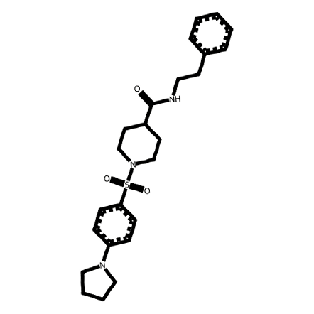 O=C(NCCc1ccccc1)C1CCN(S(=O)(=O)c2ccc(N3CCCC3)cc2)CC1